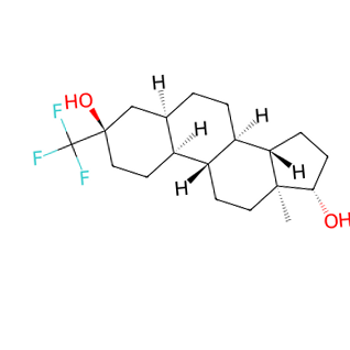 C[C@]12CC[C@H]3[C@@H](CC[C@@H]4C[C@@](O)(C(F)(F)F)CC[C@@H]43)[C@@H]1CC[C@@H]2O